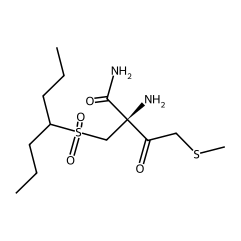 CCCC(CCC)S(=O)(=O)C[C@](N)(C(N)=O)C(=O)CSC